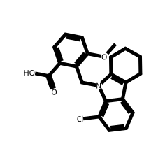 COc1cccc(C(=O)O)c1Cn1c2c(c3cccc(Cl)c31)CCCC2